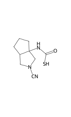 N#CN1CC2CCCC2(NC(=O)S)C1